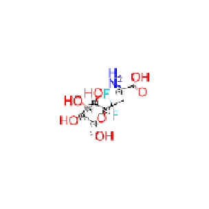 N[C@H](CC(F)(F)[C@H]1O[C@H](CO)[C@H](O)[C@H](O)[C@H]1O)C(=O)O